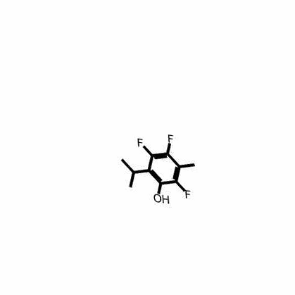 Cc1c(F)c(O)c(C(C)C)c(F)c1F